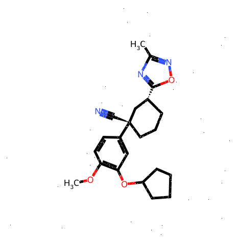 COc1ccc([C@@]2(C#N)CCC[C@@H](c3nc(C)no3)C2)cc1OC1CCCC1